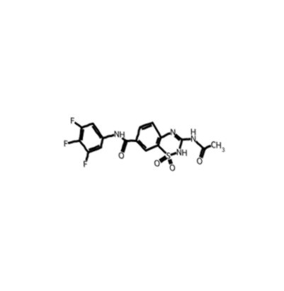 CC(=O)NC1=Nc2ccc(C(=O)Nc3cc(F)c(F)c(F)c3)cc2S(=O)(=O)N1